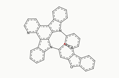 c1ccc(-n2c3ccccc3c3c4cccnc4c4c5ccccc5n(-c5ccc6c(c5)oc5ccccc56)c4c32)cc1